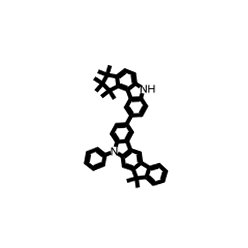 CC1(C)c2ccccc2-c2cc3c4cc(-c5ccc6[nH]c7ccc8c(c7c6c5)C(C)(C)C(C)(C)C8(C)C)ccc4n(-c4ccccc4)c3cc21